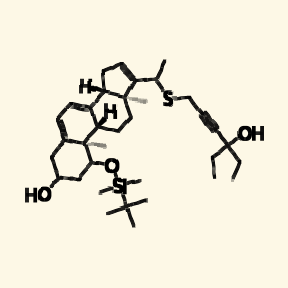 CCC(O)(C#CCSC(C)C1=CC[C@H]2C3=CC=C4CC(O)CC(O[Si](C)(C)C(C)(C)C)[C@]4(C)[C@H]3CC[C@]12C)CC